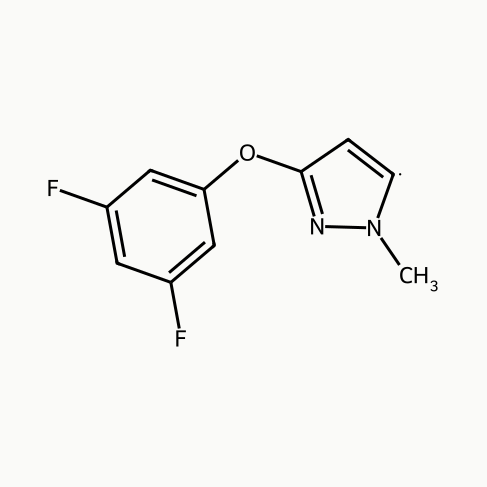 Cn1[c]cc(Oc2cc(F)cc(F)c2)n1